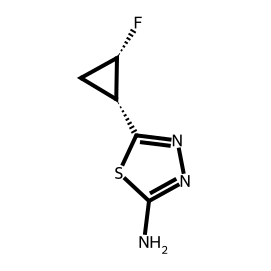 Nc1nnc([C@@H]2C[C@@H]2F)s1